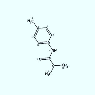 Cc1ccc(NC(=O)C(C)C)cc1